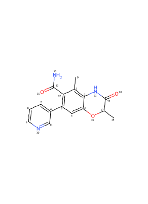 Cc1c2c(cc(-c3cccnc3)c1C(N)=O)OC(C)C(=O)N2